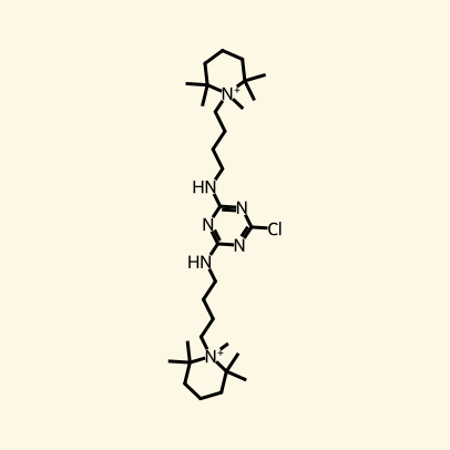 CC1(C)CCCC(C)(C)[N+]1(C)CCCCNc1nc(Cl)nc(NCCCC[N+]2(C)C(C)(C)CCCC2(C)C)n1